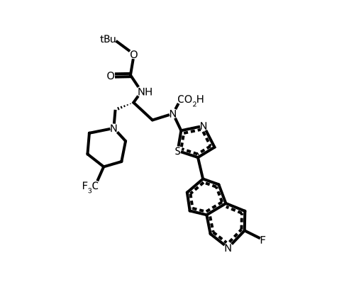 CC(C)(C)OC(=O)N[C@@H](CN1CCC(C(F)(F)F)CC1)CN(C(=O)O)c1ncc(-c2ccc3cnc(F)cc3c2)s1